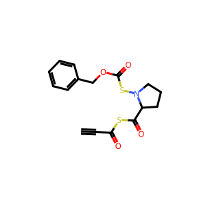 C#CC(=O)SC(=O)C1CCCN1SC(=O)OCc1ccccc1